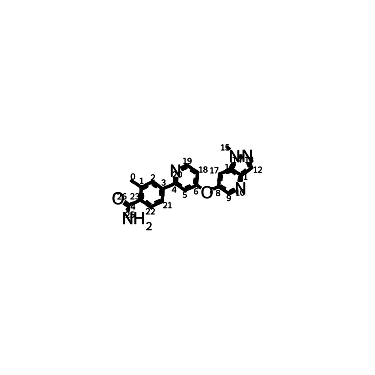 Cc1cc(-c2cc(Oc3cnc4cnn(C)c4c3)ccn2)ccc1C(N)=O